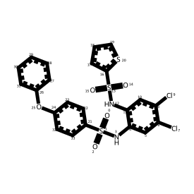 O=S(=O)(Nc1cc(Cl)c(Cl)cc1NS(=O)(=O)c1cccs1)c1ccc(Oc2ccccc2)cc1